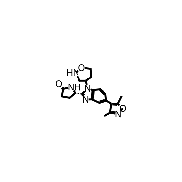 Cc1noc(C)c1-c1ccc2c(c1)nc([C@@H]1CCC(=O)N1)n2C1CCONC1